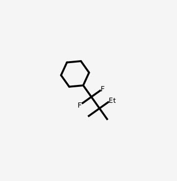 CCC(C)(C)C(F)(F)C1CCCCC1